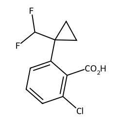 O=C(O)c1c(Cl)cccc1C1(C(F)F)CC1